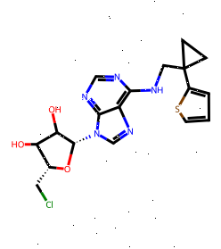 OC1C(O)[C@@H](CCl)O[C@H]1n1cnc2c(NCC3(c4cccs4)CC3)ncnc21